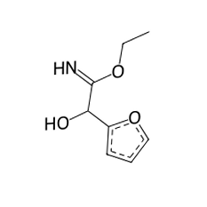 CCOC(=N)C(O)c1ccco1